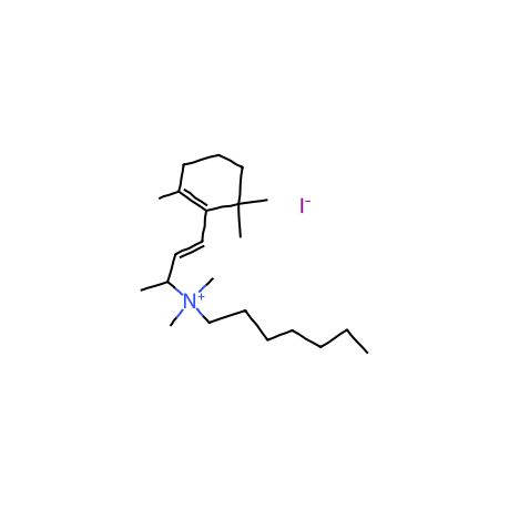 CCCCCCC[N+](C)(C)C(C)/C=C/C1=C(C)CCCC1(C)C.[I-]